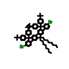 CCCCCCCCC1(CCCCCCCC)c2cc3c(cc2-c2cc4c(cc21)-c1ccc(Br)cc1C4(c1ccc(C(C)(C)C)cc1)c1ccc(C(C)(C)C)cc1)C(c1ccc(C(C)(C)C)cc1)(c1ccc(C(C)(C)C)cc1)c1cc(Br)ccc1-3